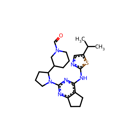 CC(C)c1cnc(Nc2nc(N3CCCC3C3CCCN(C=O)C3)nc3c2CCC3)s1